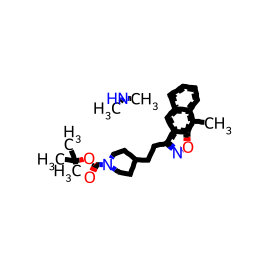 CNC.Cc1c2ccccc2cc2c(CCC3CCN(C(=O)OC(C)(C)C)CC3)noc12